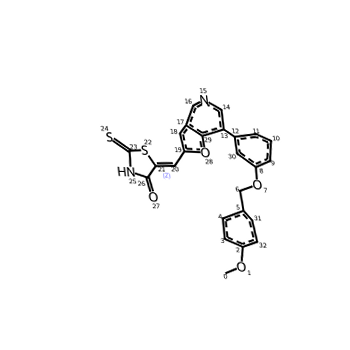 COc1ccc(COc2cccc(-c3cncc4cc(/C=C5\SC(=S)NC5=O)oc34)c2)cc1